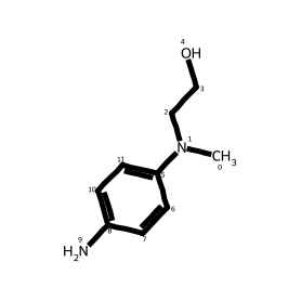 CN(CCO)c1ccc(N)cc1